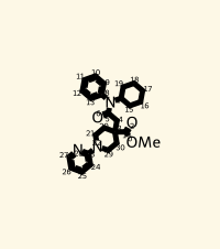 COC(=O)C1(CC(=O)N(c2ccccc2)C2CCCCC2)CCN(c2ccccn2)CC1